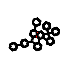 C1=CCCC(c2ccc(N(c3ccc(-c4ccccc4)cc3)c3ccccc3-c3cccc4c3-c3ccccc3C4(c3ccccc3)c3ccccc3)cc2)=C1